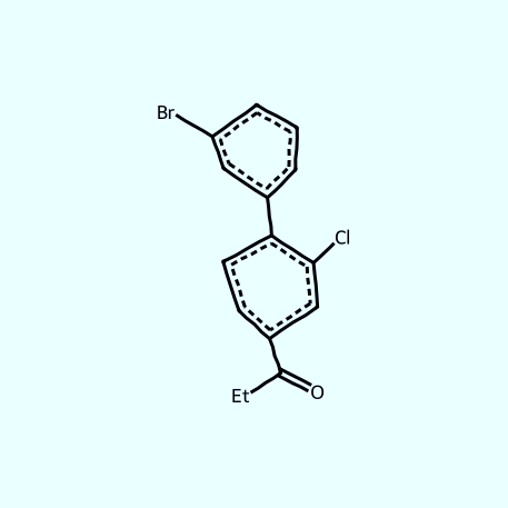 CCC(=O)c1ccc(-c2cccc(Br)c2)c(Cl)c1